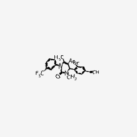 C#Cc1ccc(C2C(C(C)=O)=C(C)N(c3cccc(C(F)(F)F)c3)C(=O)N2C)c(Br)c1